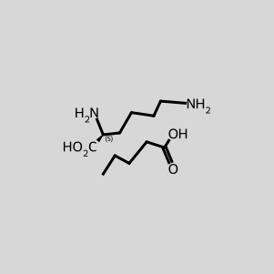 CCCCC(=O)O.NCCCC[C@H](N)C(=O)O